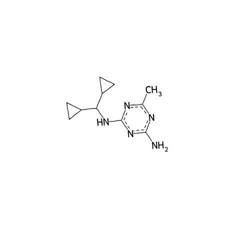 Cc1nc(N)nc(NC(C2CC2)C2CC2)n1